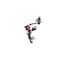 O=C1CCC(N2Cc3c(C#CCOCCOCCN4CC(COc5cccc(-c6ccc(Cl)cc6)c5CN5CCN(c6ccc(C(=O)NS(=O)(=O)c7ccc(NCC8CCOCC8)c([N+](=O)[O-])c7)c(Oc7cnc8[nH]ccc8c7)c6)CC5)C4)cccc3C2=O)C(=O)N1